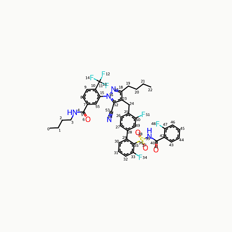 CCCCNC(=O)c1ccc(C(F)(F)F)c(-n2nc(CCCC)c(Cc3ccc(-c4cccc(F)c4S(=O)(=O)NC(=O)c4ccccc4F)cc3F)c2C#N)c1